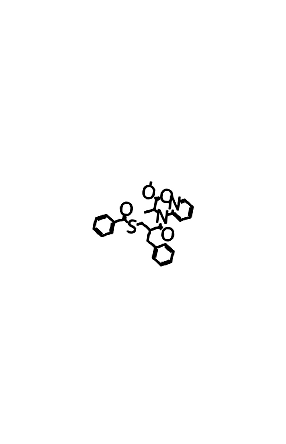 COC(=O)C(C)N(C(=O)C(CSC(=O)c1ccccc1)Cc1ccccc1)c1ccccn1